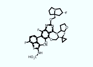 N#Cc1c(NC(=O)O)sc2c(F)ccc(-c3c(Cl)c4c5c(nc(OC[C@@]67CCCN6C[C@H](F)C7)nc5c3F)N(C3CCOC3)[C@@H](C3(F)CC3)CO4)c12